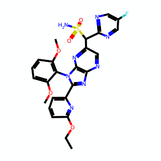 CCOc1cccc(-c2nc3ncc(C(c4ncc(F)cn4)S(N)(=O)=O)nc3n2-c2c(OC)cccc2OC)n1